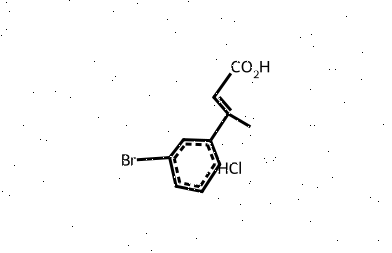 CC(=CC(=O)O)c1cccc(Br)c1.Cl